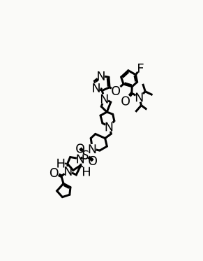 CC(C)N(C(=O)c1cc(F)ccc1Oc1cncnc1N1CC2(CCN(CC3CCN(S(=O)(=O)N4C[C@@H]5C[C@H]4CN5C(=O)C4=CCCC4)CC3)CC2)C1)C(C)C